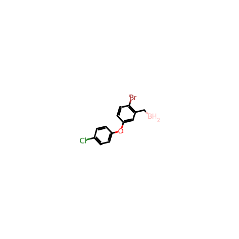 BCc1cc(Oc2ccc(Cl)cc2)ccc1Br